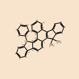 CC1(C)c2ccccc2-c2c1c1ccc3c4ccccc4n(-c4ccccc4)c3c1c1ccccc21